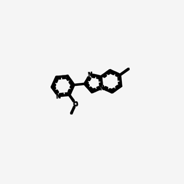 COc1ncccc1-c1cn2ccc(C)cc2n1